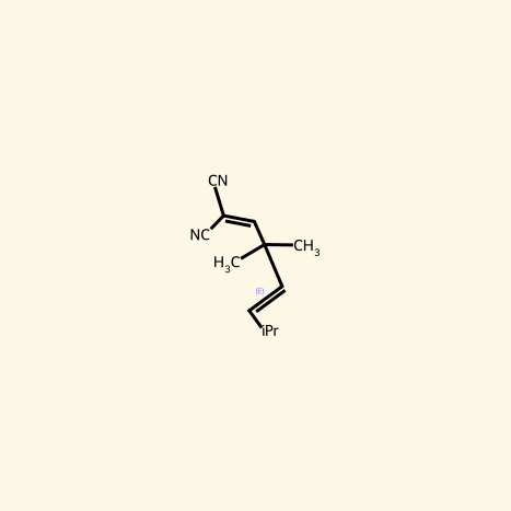 CC(C)/C=C/C(C)(C)C=C(C#N)C#N